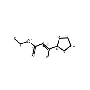 CCOC(=O)/C=C(\C)C1CCCC1